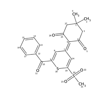 CC1(C)CC(=O)C(=C2C=C(C(=O)c3ccccc3)SC(S(C)(=O)=O)=C2)C(=O)C1